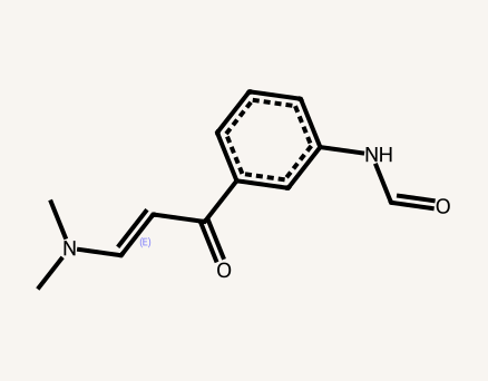 CN(C)/C=C/C(=O)c1cccc(NC=O)c1